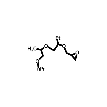 CCCOCC(C)OCC(CC)OCC1CO1